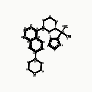 CC[C@](O)(c1nccs1)[C@H]1CCCN(c2nnnc3cc(N4CCOCC4)ccc23)C1